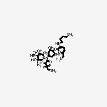 CN[C@@H]1[C@@H](O)[C@@H](O[C@H]2[C@H](NC(=O)C(O)C(F)(F)CN)C[C@H](N)C(O[C@H]3OC(CN)=CC[C@H]3NCCCCN)[C@@H]2O)OC[C@]1(C)O